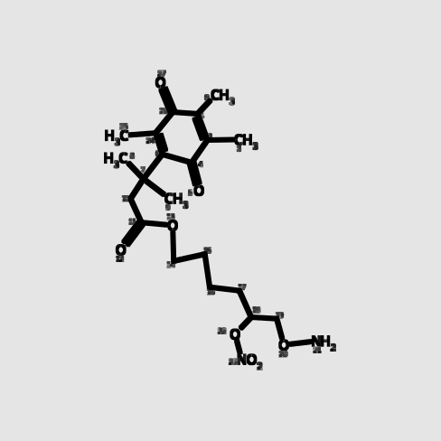 CC1=C(C)C(=O)C(C(C)(C)CC(=O)OCCCCC(CON)O[N+](=O)[O-])=C(C)C1=O